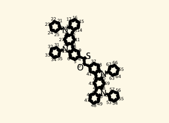 O=C(C(=S)c1ccc2c(c1)c1cc3c4ccccc4n(-c4ccccc4)c3cc1n2-c1ccccc1)c1ccc2c(c1)c1cc3c4ccccc4n(-c4ccccc4)c3cc1n2-c1ccccc1